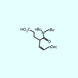 CCCCCCCCCC/C=C\C(CCC(=O)O)C(=O)N(CCCC)CCCC